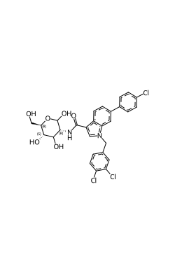 O=C(N[C@H]1C(O)O[C@H](CO)[C@@H](O)C1O)c1cn(Cc2ccc(Cl)c(Cl)c2)c2cc(-c3ccc(Cl)cc3)ccc12